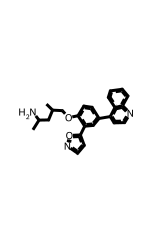 CC(N)CC(C)COc1ccc(-c2ccnc3ccccc23)cc1-c1ccno1